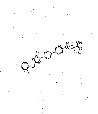 CC(C)(COc1ccc(-c2ccc(-c3nc(Oc4ccc(F)cc4F)n[nH]3)cc2)cn1)C(=O)O